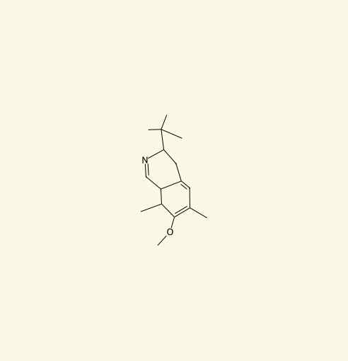 COC1=C(C)C=C2CC(C(C)(C)C)N=CC2C1C